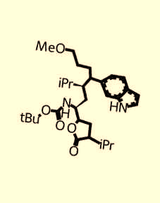 COCCCC(c1ccc2cc[nH]c2c1)[C@@H](C[C@H](NC(=O)OC(C)(C)C)C1CC(C(C)C)C(=O)O1)C(C)C